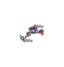 COc1ccc(F)cc1CCCC1CCC(CCNCC(CCCN2CCCC2=O)c2ccc(OC)c(OC3CCCC3)c2)O1